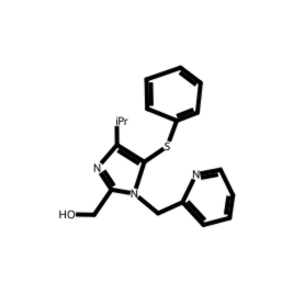 CC(C)c1nc(CO)n(Cc2ccccn2)c1Sc1ccccc1